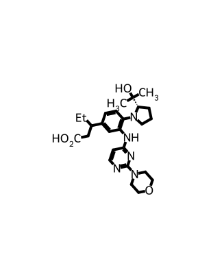 CCC(CC(=O)O)c1ccc(N2CCC[C@H]2C(C)(C)O)c(Nc2ccnc(N3CCOCC3)n2)c1